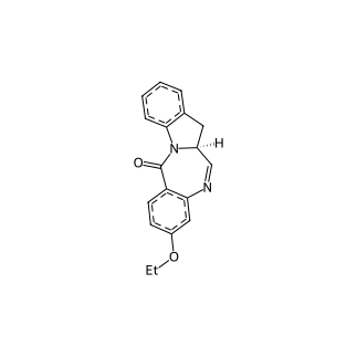 CCOc1ccc2c(c1)N=C[C@@H]1Cc3ccccc3N1C2=O